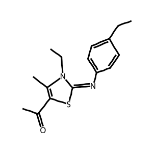 CCc1ccc(N=c2sc(C(C)=O)c(C)n2CC)cc1